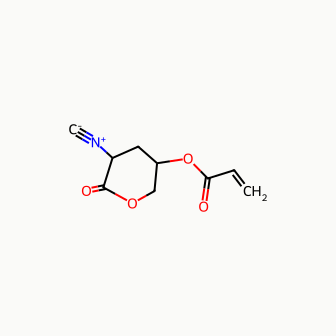 [C-]#[N+]C1CC(OC(=O)C=C)COC1=O